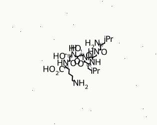 CC(C)C[C@H](NC(=O)CNC(=O)[C@@H](N)CC(C)C)C(=O)N[C@@H](CO)C(=O)N[C@@H](CO)C(=O)N[C@@H](CCCCN)C(=O)O